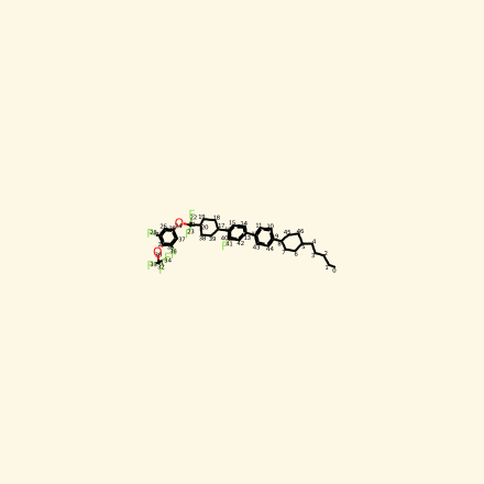 CCCCCC1CCC(c2ccc(-c3ccc(C4CCC(C(F)(F)Oc5cc(F)c(OC(F)(F)F)c(F)c5)CC4)c(F)c3)cc2)CC1